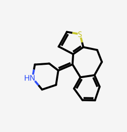 c1ccc2c(c1)CCc1sccc1C2=C1CCNCC1